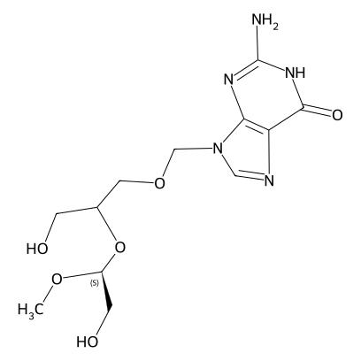 CO[C@H](CO)OC(CO)COCn1cnc2c(=O)[nH]c(N)nc21